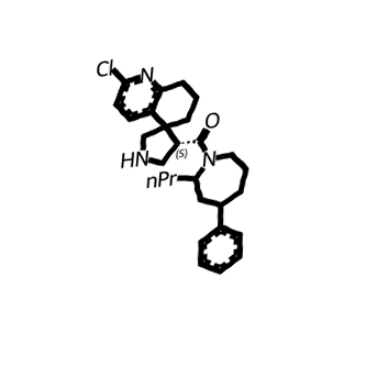 CCCC1CC(c2ccccc2)CCCN1C(=O)[C@@H]1CNCC12CCCc1nc(Cl)ccc12